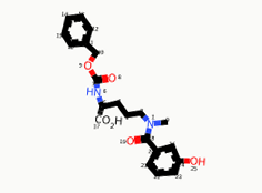 CN(CCCC(NC(=O)OCc1ccccc1)C(=O)O)C(=O)c1cccc(O)c1